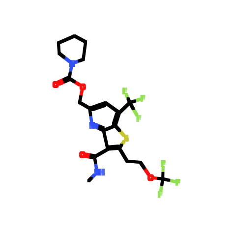 CNC(=O)c1c(CCOC(F)(F)F)sc2c(C(F)(F)F)cc(COC(=O)N3CCCCC3)nc12